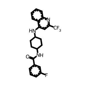 O=C(NC1CCC(Nc2cc(C(F)(F)F)nc3ccccc23)CC1)c1cccc(F)c1